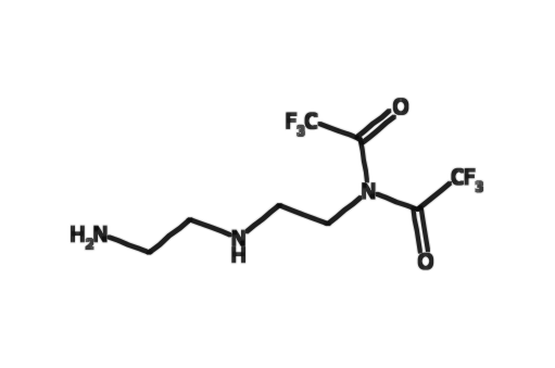 NCCNCCN(C(=O)C(F)(F)F)C(=O)C(F)(F)F